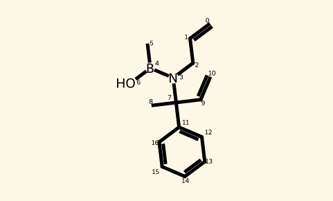 C=CCN(B(C)O)C(C)(C=C)c1ccccc1